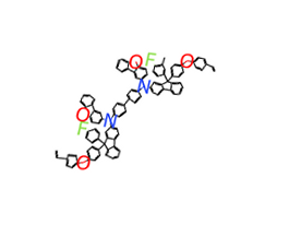 C=Cc1ccc(Oc2ccc(C3(c4ccc(F)cc4)c4ccccc4-c4ccc(N(c5ccc(-c6ccc(N(c7ccc8c(c7)C(c7ccc(Oc9ccc(C=C)cc9)cc7)(c7ccc(F)c(C)c7)c7ccccc7-8)c7ccc8oc9ccccc9c8c7)cc6)cc5)c5ccc6oc7ccccc7c6c5)cc43)cc2)cc1